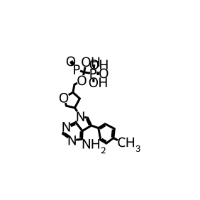 Cc1ccc(-c2cn(C3COC(COC(O)(P=O)P(=O)(O)O)C3)c3ncnc(N)c23)cc1